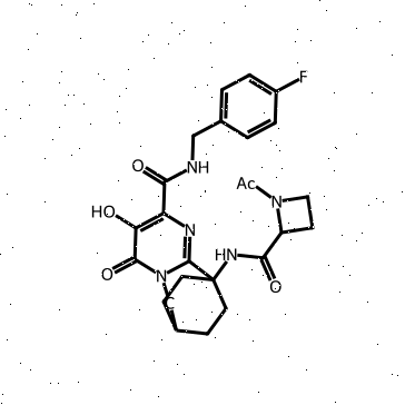 CC(=O)N1CCC1C(=O)NC12CCC(CC1)Cn1c2nc(C(=O)NCc2ccc(F)cc2)c(O)c1=O